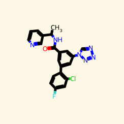 CC(NC(=O)c1cc(-c2ccc(F)cc2Cl)cc(-n2cnnn2)c1)c1cccnc1